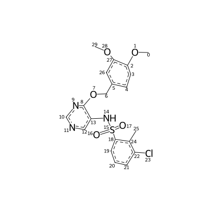 COc1ccc(COc2ncncc2NS(=O)(=O)c2cccc(Cl)c2C)cc1OC